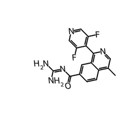 Cc1cnc(-c2c(F)cncc2F)c2cc(C(=O)N=C(N)N)ccc12